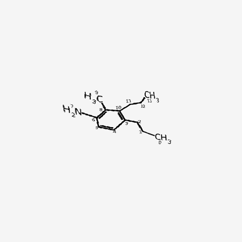 CCCc1ccc(N)c(C)c1CCC